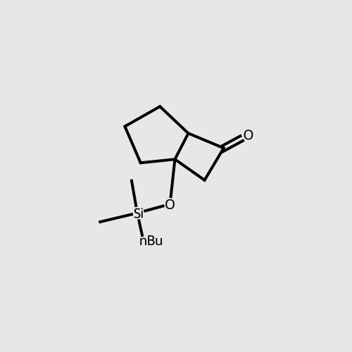 CCCC[Si](C)(C)OC12CCCC1C(=O)C2